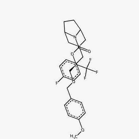 COc1ccc(COC[C@@H](OC(=O)N2C3CCC2CN(Cc2ccc(F)cc2)C3)C(F)(F)F)cc1